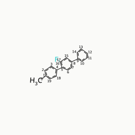 Cc1ccc(-c2ccc(-c3ccccc3)cc2F)cc1